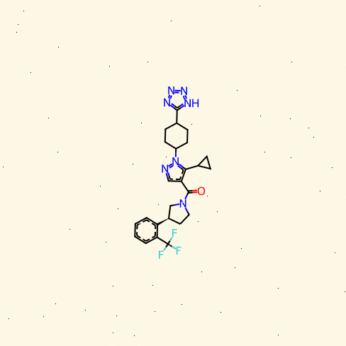 O=C(c1cnn(C2CCC(c3nnn[nH]3)CC2)c1C1CC1)N1CC[C@@H](c2ccccc2C(F)(F)F)C1